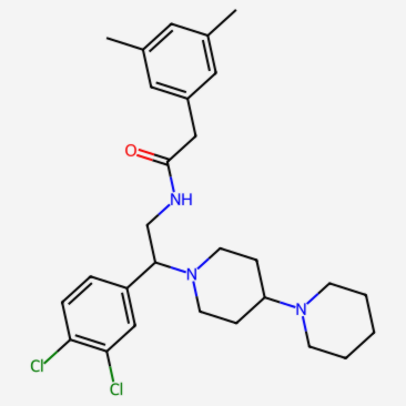 Cc1cc(C)cc(CC(=O)NCC(c2ccc(Cl)c(Cl)c2)N2CCC(N3CCCCC3)CC2)c1